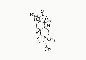 C[C@]12CCC(=O)C(=[N+]=[N-])[C@H]1CC[C@@H]1[C@@H]2CC[C@]2(C)[C@H](CO)CC[C@@H]12